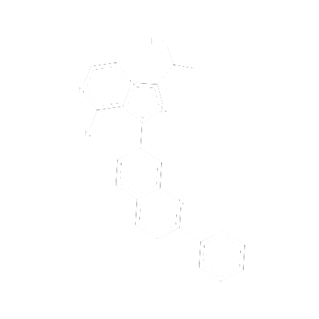 CC(C)c1nc(-c2ccc3ccc(-c4ccccc4)nc3c2)c2c(N)nccn12